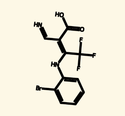 N=C/C(C(=O)O)=C(\Nc1ccccc1Br)C(F)(F)F